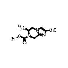 CC1Cn2cc(C=O)nc2CN1C(=O)OC(C)(C)C